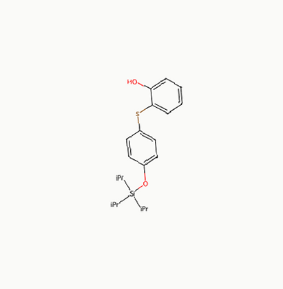 CC(C)[Si](Oc1ccc(Sc2ccccc2O)cc1)(C(C)C)C(C)C